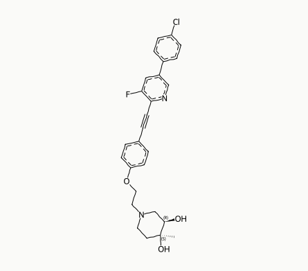 C[C@]1(O)CCN(CCOc2ccc(C#Cc3ncc(-c4ccc(Cl)cc4)cc3F)cc2)C[C@H]1O